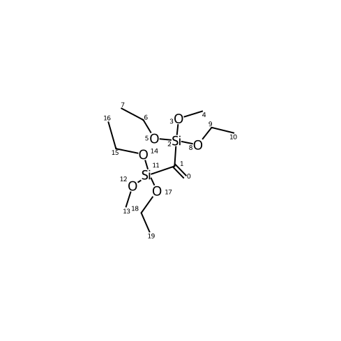 C=C([Si](OC)(OCC)OCC)[Si](OC)(OCC)OCC